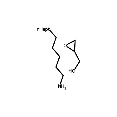 CCCCCCCCCCCCN.OCC1CO1